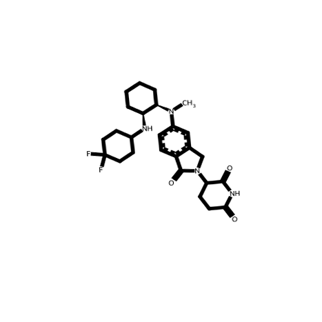 CN(c1ccc2c(c1)CN(C1CCC(=O)NC1=O)C2=O)[C@@H]1CCCC[C@@H]1NC1CCC(F)(F)CC1